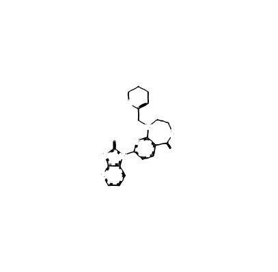 O=C1NCCN(CC2=CCCCO2)c2nc(-n3c(=O)[nH]c4ncccc43)ccc21